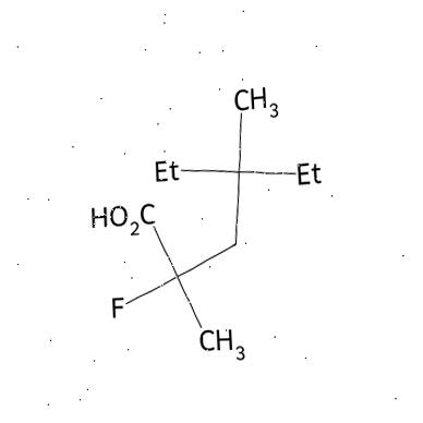 CCC(C)(CC)CC(C)(F)C(=O)O